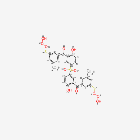 O=C(c1cc(SOOO)cc(S(=O)(=O)O)c1)c1cc(S(=O)(=O)c2ccc(O)c(C(=O)c3cc(SOOO)cc(S(=O)(=O)O)c3)c2)ccc1O